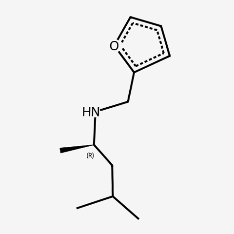 CC(C)C[C@@H](C)NCc1ccco1